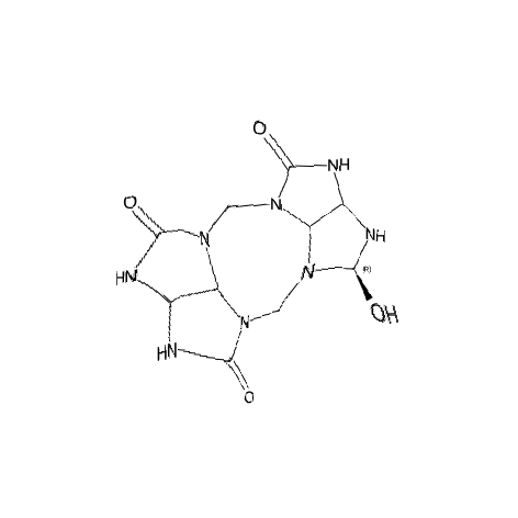 O=C1NC2NC(=O)N3CN4C5C(NC(=O)N5CN1C23)N[C@H]4O